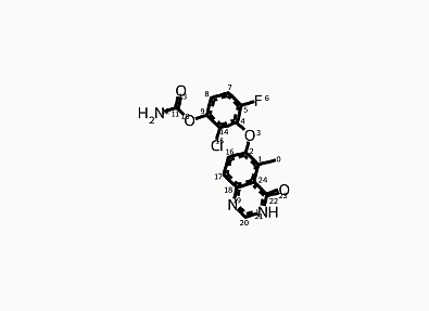 Cc1c(Oc2c(F)ccc(OC(N)=O)c2Cl)ccc2nc[nH]c(=O)c12